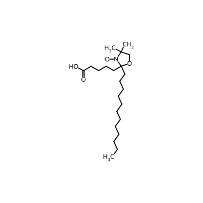 CCCCCCCCCCCCC1(CCCCC(=O)O)OCC(C)(C)N1[O]